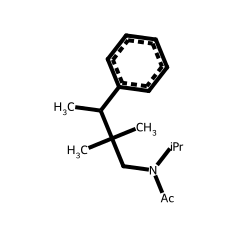 CC(=O)N(CC(C)(C)C(C)c1ccccc1)C(C)C